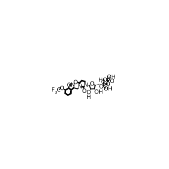 O=c1ccn([C@@H]2O[C@H](COP(=O)(O)OP(=O)(O)O)[C@H](O)[C@@H]2O)c(=O)n1Cc1noc2c(OC(F)(F)F)cccc12